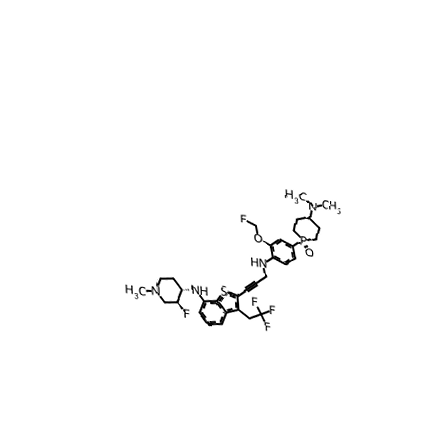 CN1CC[C@H](Nc2cccc3c(CC(F)(F)F)c(C#CCNc4ccc(P5(=O)CCC(N(C)C)CC5)cc4OCF)sc23)[C@@H](F)C1